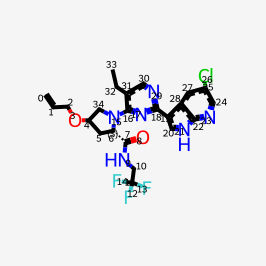 C=CCOC1C[C@@H](C(=O)NCC(F)(F)F)N(c2nc(-c3c[nH]c4ncc(Cl)cc34)ncc2CC)C1